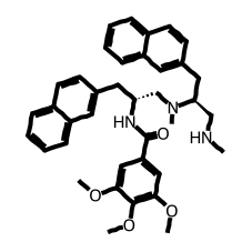 CNC[C@H](Cc1ccc2ccccc2c1)N(C)C[C@@H](Cc1ccc2ccccc2c1)NC(=O)c1cc(OC)c(OC)c(OC)c1